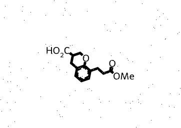 COC(=O)CCc1cccc2c1OCC(C(=O)O)C2